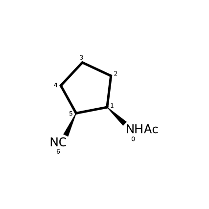 CC(=O)N[C@@H]1CCC[C@@H]1C#N